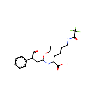 CCOC(CC(C=O)c1ccccc1)N[C@@H](CCCCNC(=O)C(F)(F)F)C(=O)O